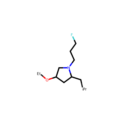 CCOC1CC(CC(C)C)N(CCCF)C1